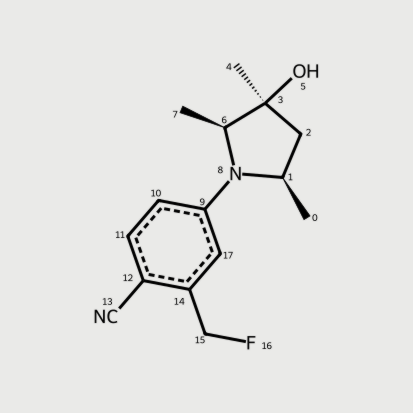 C[C@@H]1C[C@](C)(O)[C@H](C)N1c1ccc(C#N)c(CF)c1